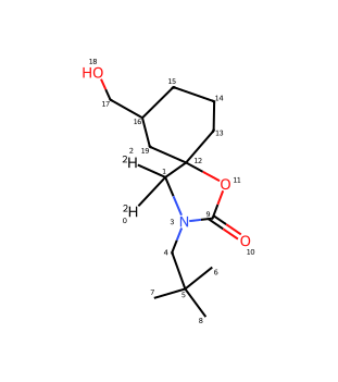 [2H]C1([2H])N(CC(C)(C)C)C(=O)OC12CCCC(CO)C2